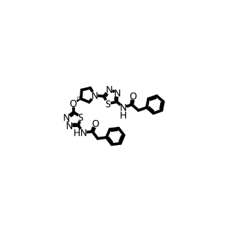 O=C(Cc1ccccc1)Nc1nnc(O[C@H]2CCN(c3nnc(NC(=O)Cc4ccccc4)s3)C2)s1